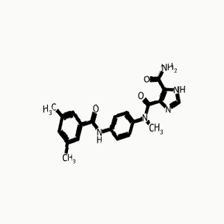 Cc1cc(C)cc(C(=O)Nc2ccc(N(C)C(=O)c3nc[nH]c3C(N)=O)cc2)c1